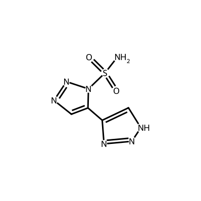 NS(=O)(=O)n1nncc1-c1c[nH]nn1